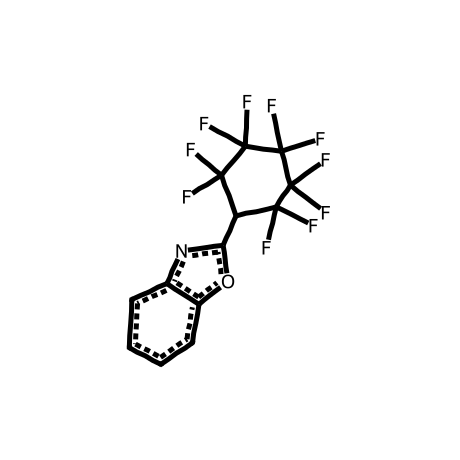 FC1(F)C(c2nc3ccccc3o2)C(F)(F)C(F)(F)C(F)(F)C1(F)F